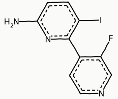 Nc1ccc(I)c(-c2ccncc2F)n1